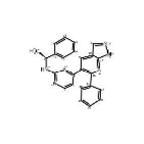 C[C@H](Nc1nccc(-c2cc3cn[nH]c3nc2-c2ccccc2)n1)c1ccccc1